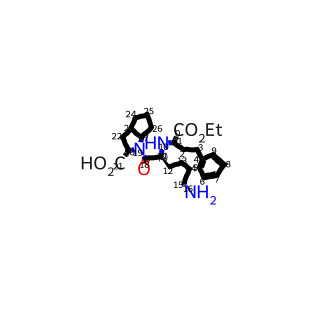 CCOC(=O)C(CCc1ccccc1)N[C@@H](CCCCN)C(=O)N1C(C(=O)O)CC2CCCC21